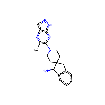 Cc1nc2cn[nH]c2nc1N1CCC2(CC1)Cc1ccccc1[C@H]2N